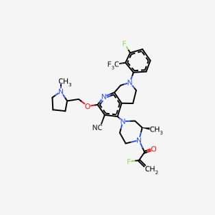 C=C(F)C(=O)N1CCN(c2c(C#N)c(OCC3CCCN3C)nc3c2CCN(c2cccc(F)c2C(F)(F)F)C3)C[C@H]1C